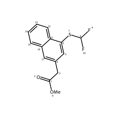 COC(=O)Cc1cc(SC(F)F)c2ccccc2c1